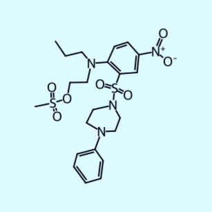 CCCN(CCOS(C)(=O)=O)c1ccc([N+](=O)[O-])cc1S(=O)(=O)N1CCN(c2ccccc2)CC1